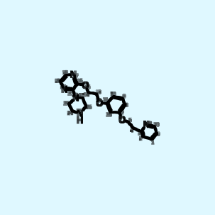 c1ccc(CCOc2cccc(OCCOc3nccnc3N3CCNCC3)c2)nc1